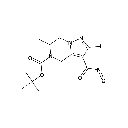 CC1Cn2nc(I)c(C(=O)N=O)c2CN1C(=O)OC(C)(C)C